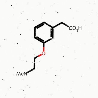 CNCCOc1cccc(CC(=O)O)c1